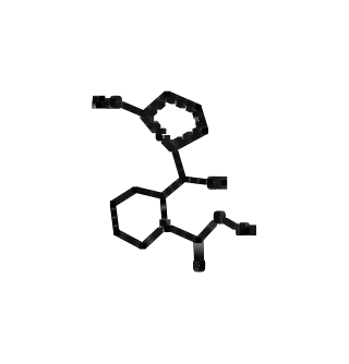 COc1cccc(C(O)C2CCCCN2C(=O)OC(C)(C)C)c1